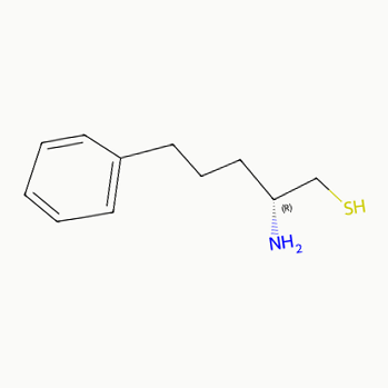 N[C@@H](CS)CCCc1ccccc1